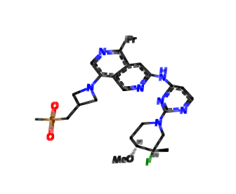 CO[C@@H]1CCN(c2nccc(Nc3cc4c(C(C)C)ncc(N5CC(CS(C)(=O)=O)C5)c4cn3)n2)C[C@]1(C)F